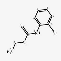 CCOC(=O)Nc1ccccc1I